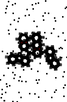 c1ccc(N(c2ccc(-c3cccc4c3sc3ccccc34)cc2)c2cccc3c2oc2ccccc23)c(-c2cccc3cccc(C4CCCCC4)c23)c1